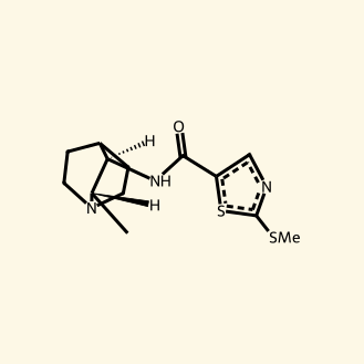 CSc1ncc(C(=O)N[C@@H]2C3CCN(CC3)[C@H]2C)s1